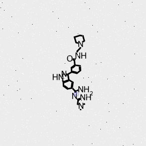 CN(C)CC(=N)/N=C(\N)c1ccc2[nH]nc(-c3cccc(C(=O)NCCN4CCCCC4)c3)c2c1